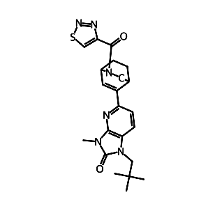 Cn1c(=O)n(CC(C)(C)C)c2ccc(C3=CC4CCC3CN4C(=O)c3csnn3)nc21